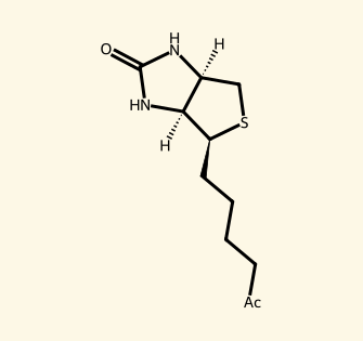 CC(=O)CCCC[C@@H]1SC[C@@H]2NC(=O)N[C@@H]21